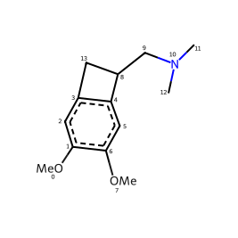 COc1cc2c(cc1OC)C(CN(C)C)C2